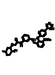 COc1cccc(CNc2cccc(NC(=O)COC3CC(C)CCC3C(C)C)c2)c1Oc1ccc(-c2nnn[nH]2)cn1